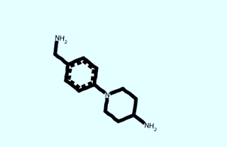 NCc1ccc(N2CCC(N)CC2)cc1